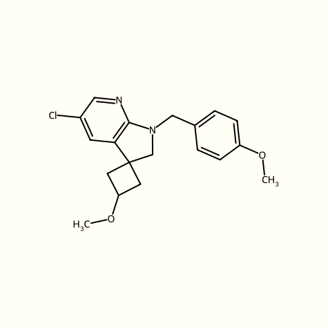 COc1ccc(CN2CC3(CC(OC)C3)c3cc(Cl)cnc32)cc1